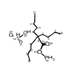 CCCCC(CCCC)(CCCC)C(=O)OP.O=[SH](=O)O